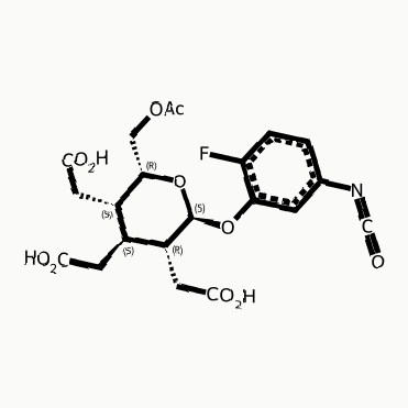 CC(=O)OC[C@@H]1O[C@@H](Oc2cc(N=C=O)ccc2F)[C@H](CC(=O)O)[C@@H](CC(=O)O)[C@@H]1CC(=O)O